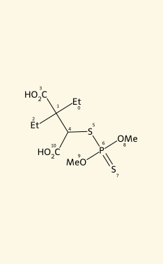 CCC(CC)(C(=O)O)C(SP(=S)(OC)OC)C(=O)O